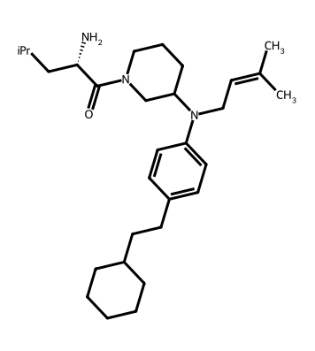 CC(C)=CCN(c1ccc(CCC2CCCCC2)cc1)C1CCCN(C(=O)[C@@H](N)CC(C)C)C1